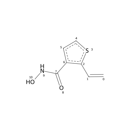 C=Cc1sccc1C(=O)NO